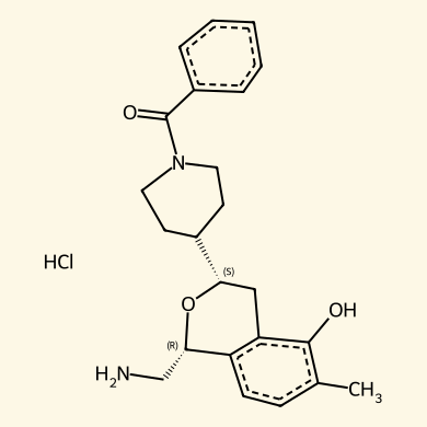 Cc1ccc2c(c1O)C[C@@H](C1CCN(C(=O)c3ccccc3)CC1)O[C@H]2CN.Cl